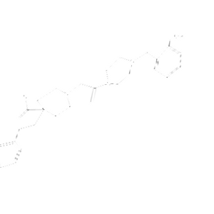 COc1ccccc1CN1CCN(C(=O)CN2CCC(CCc3ccccc3)(C(N)=O)CC2)CC1